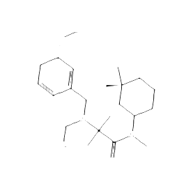 CCO[C@@H]1C=C(CN(CS)C(C)(C)C(=O)N(C)C2CCC[C@](C)(C(F)(F)F)C2)C=CC1